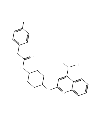 CN(C)c1cc(NC2CCC(NC(=O)Cc3ccc(F)cc3)CC2)nc2ccccc12